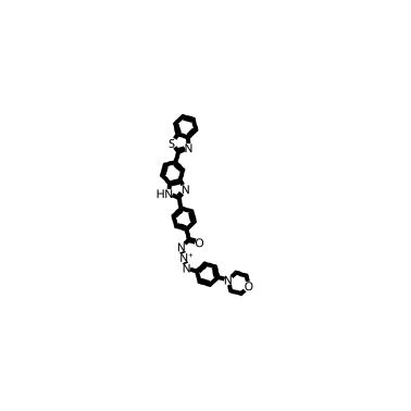 O=C(N=[N+]=Nc1ccc(N2CCOCC2)cc1)c1ccc(-c2nc3cc(-c4nc5ccccc5s4)ccc3[nH]2)cc1